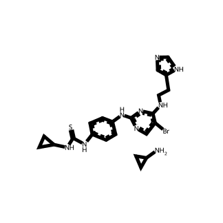 NC1CC1.S=C(Nc1ccc(Nc2ncc(Br)c(NCCc3cnc[nH]3)n2)cc1)NC1CC1